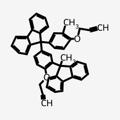 C#CCOc1ccc(C2(c3ccc(OCC#C)c(C4(C)c5ccccc5-c5ccccc54)c3)c3ccccc3-c3ccccc32)cc1C